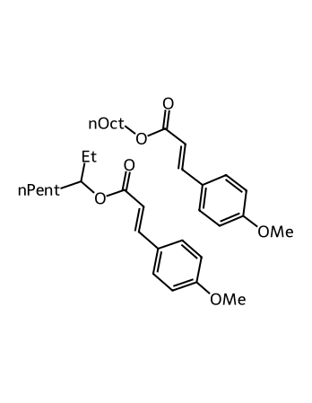 CCCCCC(CC)OC(=O)C=Cc1ccc(OC)cc1.CCCCCCCCOC(=O)C=Cc1ccc(OC)cc1